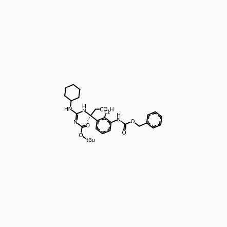 CC(C)(C)OC(=O)/N=C(/NC1CCCCC1)N[C@@](C)(CC(=O)O)c1cccc(NC(=O)OCc2ccccc2)c1Cl